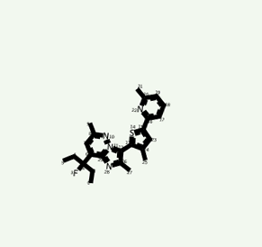 CCC(F)(CC)c1cc(C)nn2c(-c3sc(-c4cccc(C)n4)cc3C)c(C)nc12